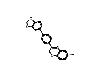 Cc1ccc2c(c1)N=C(c1ccc(-c3ccc4c(c3)OCO4)cc1)CO2